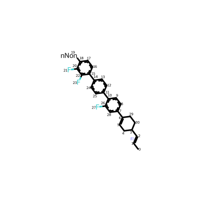 C/C=C/C1CC=C(c2ccc(-c3ccc(-c4ccc(CCCCCCCCC)c(F)c4F)cc3)c(F)c2)CC1